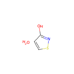 O.Oc1ccsn1